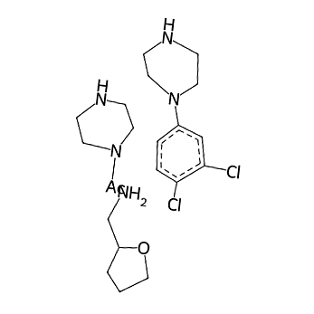 CC(=O)N1CCNCC1.Clc1ccc(N2CCNCC2)cc1Cl.NCC1CCCO1